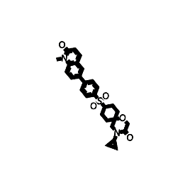 Cn1c(=O)ccc2cc(-c3ccc(S(=O)(=O)C4CCC5(CC4)CN(C4CC4)C(=O)CO5)cc3)ccc21